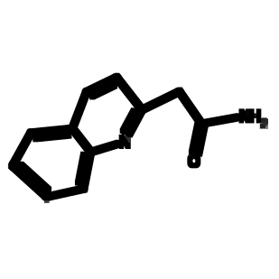 NC(=O)Cc1ccc2cc[c]cc2n1